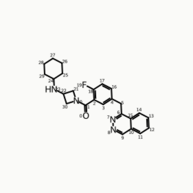 O=C(c1cc(Cc2nncc3ccccc23)ccc1F)N1CC(NC2CCCCC2)C1